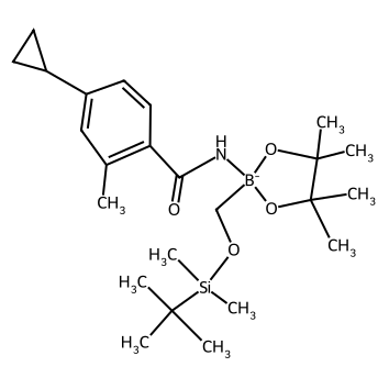 Cc1cc(C2CC2)ccc1C(=O)N[B-]1(CO[Si](C)(C)C(C)(C)C)OC(C)(C)C(C)(C)O1